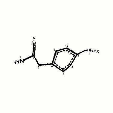 CCCCCCc1ccc(CC([NH])=O)cc1